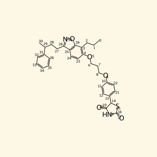 CCCc1c(OCCCOc2ccc(C3SC(=O)NC3=O)cc2)ccc2c(CCC(C)c3ccccc3)noc12